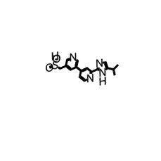 CC(C)c1cnc(-c2cc(-c3cncc(C[SH](=O)=O)c3)ccn2)[nH]1